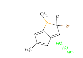 CC1=CC2=C[C](Br)([Zr])P(C)C2=C1.Cl.Cl.Cl